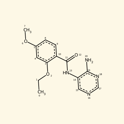 CCOc1cc(OC)ccc1C(=O)Nc1cncnc1N